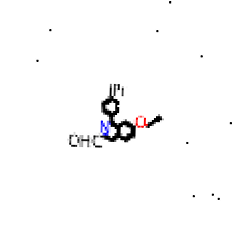 C#CCOc1ccc2cc(C=O)nc(-c3ccc(C(C)C)cc3)c2c1